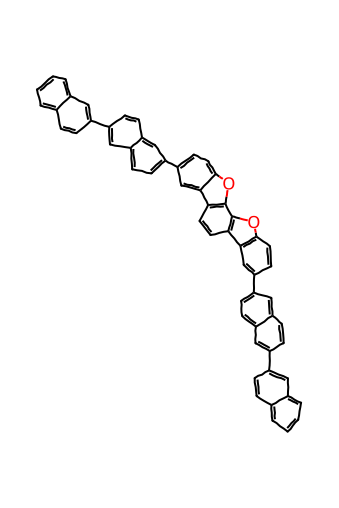 c1ccc2cc(-c3ccc4cc(-c5ccc6oc7c(ccc8c9cc(-c%10ccc%11cc(-c%12ccc%13ccccc%13c%12)ccc%11c%10)ccc9oc87)c6c5)ccc4c3)ccc2c1